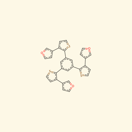 c1cc(-c2ccsc2-c2cc(-c3sccc3-c3ccoc3)cc(-c3sccc3-c3ccoc3)c2)co1